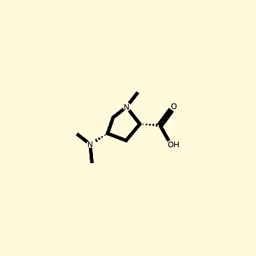 CN(C)[C@H]1C[C@@H](C(=O)O)N(C)C1